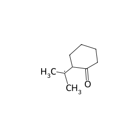 C[C](C)C1CCCCC1=O